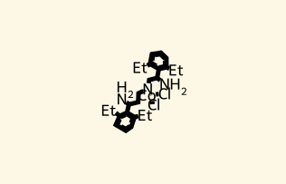 CCc1cccc(CC)c1C(N)CC[N](CC(N)c1c(CC)cccc1CC)[Co]([Cl])[Cl]